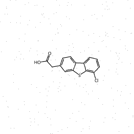 O=C(O)Cc1ccc2c(c1)sc1c(Cl)cccc12